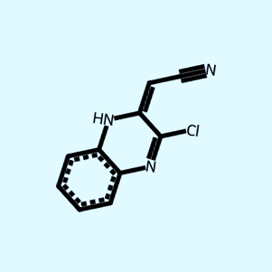 N#CC=C1Nc2ccccc2N=C1Cl